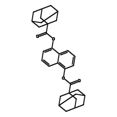 O=C(Oc1cccc2c(OC(=O)C34CC5CC(CC(C5)C3)C4)cccc12)C12CC3CC(CC(C3)C1)C2